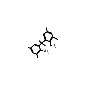 Cc1cc(C)c(N)c(C(C)(C)c2cc(C)cc(C)c2N)c1